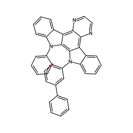 c1ccc(-c2cccc(-n3c4ccccc4c4c5nccnc5c5c6ccccc6n(-c6ccccc6)c5c43)c2)cc1